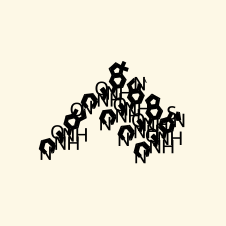 CC1(C)C=Cc2cc(NC(=O)Nc3cccnc3)ccc21.CN1CCc2cc(NC(=O)Nc3cccnc3)ccc21.O=C(Nc1cccnc1)Nc1ccc2c(c1)C=CC2.O=C(Nc1cccnc1)Nc1ccc2occc2c1.O=C(Nc1cccnc1)Nc1ccc2scnc2c1